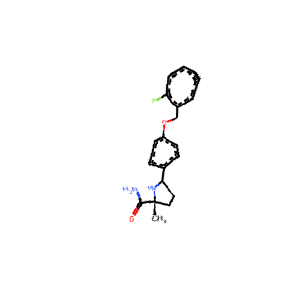 C[C@]1(C(N)=O)CCC(c2ccc(OCc3ccccc3F)cc2)N1